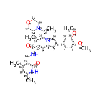 COc1ccc(-c2cc3cc(C(=O)NCc4c(C)cc(C)[nH]c4=O)c(C)c(C(C)N4CCOCC4)n3c2)cc1OC